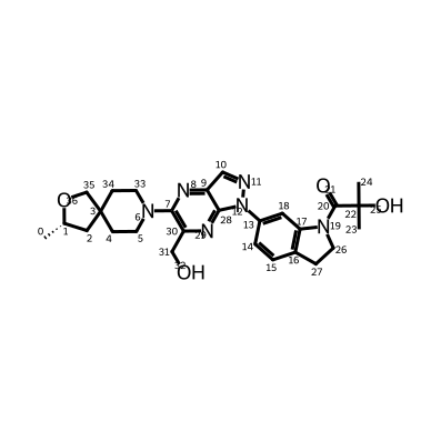 C[C@H]1CC2(CCN(c3nc4cnn(-c5ccc6c(c5)N(C(=O)C(C)(C)O)CC6)c4nc3CO)CC2)CO1